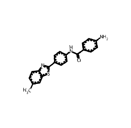 Cc1ccc2nc(-c3ccc(NC(=O)c4ccc(N)cc4)cc3)sc2c1